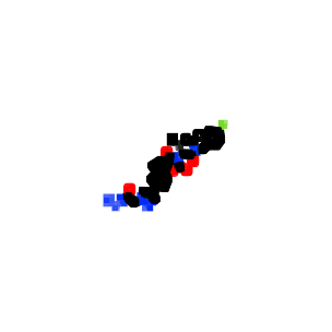 C[C@H](N(Cc1ccc(F)cc1)C(=O)CN1C(=O)O[C@@]2(CCc3cc(-c4cnn(CC(N)=O)c4)ccc32)C1=O)C(F)(F)F